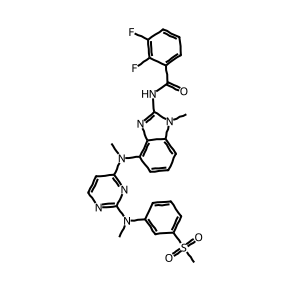 CN(c1cccc(S(C)(=O)=O)c1)c1nccc(N(C)c2cccc3c2nc(NC(=O)c2cccc(F)c2F)n3C)n1